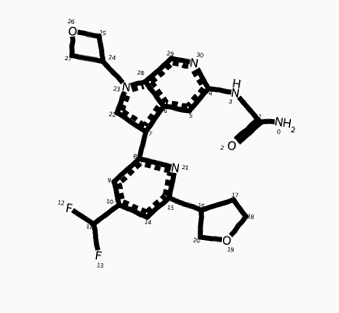 NC(=O)Nc1cc2c(-c3cc(C(F)F)cc(C4CCOC4)n3)cn(C3COC3)c2cn1